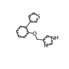 c1ccc(-c2ccsc2)c(OCc2c[nH]cn2)c1